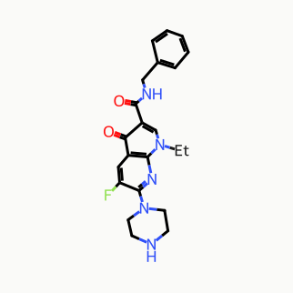 CCn1cc(C(=O)NCc2ccccc2)c(=O)c2cc(F)c(N3CCNCC3)nc21